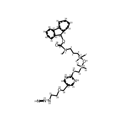 CN(CCC[Si](C)(C)O[Si](C)(C)CSc1ncc(COCCN=[N+]=[N-])cn1)C(=O)OC1c2ccccc2-c2ccccc21